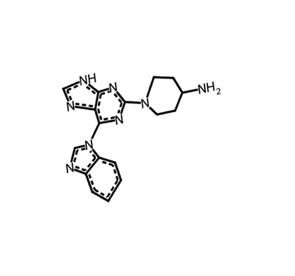 NC1CCN(c2nc(-n3cnc4ccccc43)c3nc[nH]c3n2)CC1